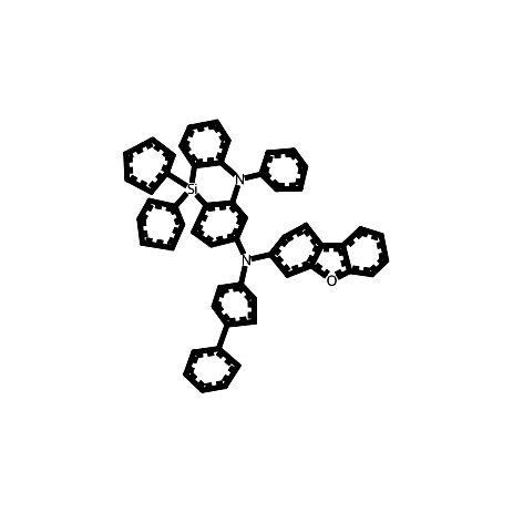 c1ccc(-c2ccc(N(c3ccc4c(c3)N(c3ccccc3)c3ccccc3[Si]4(c3ccccc3)c3ccccc3)c3ccc4c(c3)oc3ccccc34)cc2)cc1